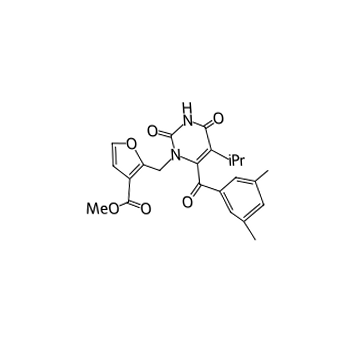 COC(=O)c1ccoc1Cn1c(C(=O)c2cc(C)cc(C)c2)c(C(C)C)c(=O)[nH]c1=O